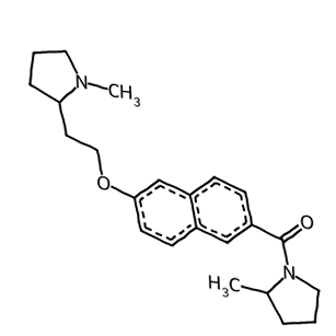 CC1CCCN1C(=O)c1ccc2cc(OCCC3CCCN3C)ccc2c1